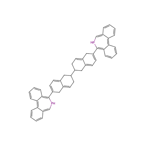 C1=C2CC(C3=c4ccccc4=c4ccccc4=CP3)=CC=C2CC(C2CC=C3CC(C4=c5ccccc5=c5ccccc5=CP4)=CC=C3C2)C1